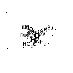 CCC(C)COC(=O)Oc1ccc(C(C(C)COC(=O)C(C)CC)[C@H](N)C(=O)O)cc1OC(=O)OCC(C)CC